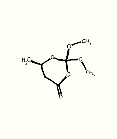 COC1(OC)OC(=O)CC(C)O1